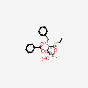 CCS[C@@H]1O[C@H](C)[C@H](O)[C@H](OC(=O)c2ccccc2)[C@H]1OCc1ccccc1